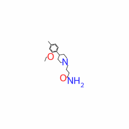 CCOc1cc(C)ccc1C1CCN(CCCC(N)=O)CC1